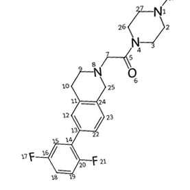 CC(C)N1CCN(C(=O)CN2CCc3cc(-c4cc(F)ccc4F)ccc3C2)CC1